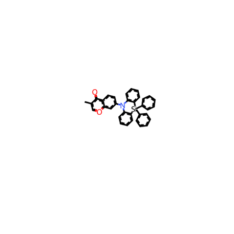 Cc1coc2cc(N3c4ccccc4[Si](c4ccccc4)(c4ccccc4)c4ccccc43)ccc2c1=O